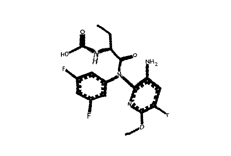 CCC(NC(=O)O)C(=O)N(c1cc(F)cc(F)c1)c1nc(OC)c(F)cc1N